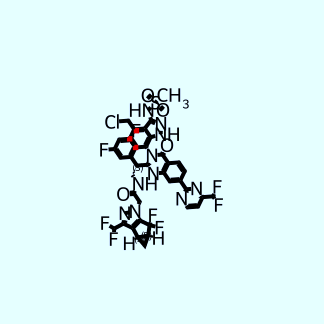 CS(=O)(=O)Nc1n[nH]c2c(-n3c([C@H](CNC(=O)Cn4nc(C(F)F)c5c4C(F)(F)[C@@H]4C[C@H]54)c4cc(F)cc(F)c4)nc4cc(-c5nccc(C(F)F)n5)ccc4c3=O)ccc(CCl)c12